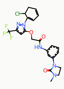 CN1CCN(c2cccc(NC(=O)COc3cc(C(F)(F)F)nn3C3=CC=CCC3Cl)c2)C1=O